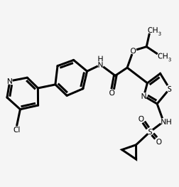 CC(C)OC(C(=O)Nc1ccc(-c2cncc(Cl)c2)cc1)c1csc(NS(=O)(=O)C2CC2)n1